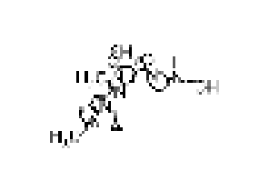 CCc1ccc2cc(-c3nc4cc(C(=O)N5CCCC(NCCO)C5)cc(OC)n4c3C)n(CC3CC3)c2n1